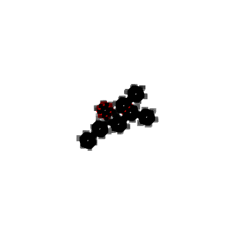 c1ccc(-c2ccc(N(c3ccccc3)c3cccc(-c4cccc(-c5ccccc5)c4)c3N(c3ccccc3)c3ccc(-c4ccccc4)cc3)cc2)cc1